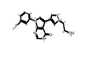 O=c1[nH]cnc2c1c(-c1cnn(CCO)c1)cn2-c1cccc(F)c1